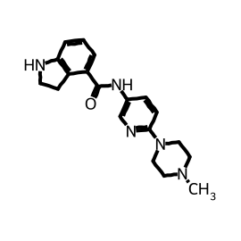 CN1CCN(c2ccc(NC(=O)c3cccc4c3CCN4)cn2)CC1